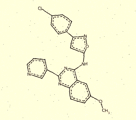 COc1ccc2nc(-c3cccnc3)nc(Nc3cc(-c4ccc(Cl)cc4)no3)c2c1